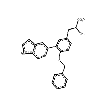 CC(Cc1ccc(OCc2ccccc2)c(-c2ccc3[nH]ccc3c2)c1)C(=O)O